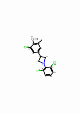 Cc1cc(C2CN(c3c(Cl)cccc3Cl)C2)cc(Cl)c1C=O